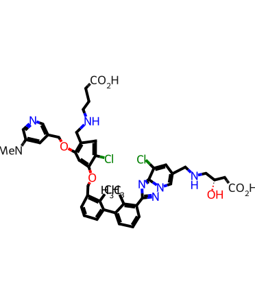 CNc1cncc(COc2cc(OCc3cccc(-c4cccc(-c5nc6c(Cl)cc(CNC[C@@H](O)CC(=O)O)cn6n5)c4C)c3C)c(Cl)cc2CNCCCC(=O)O)c1